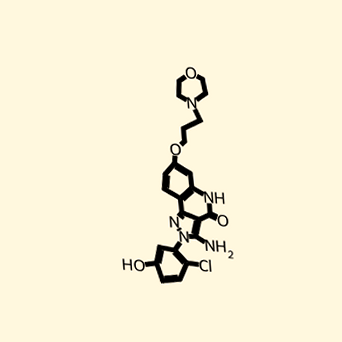 Nc1c2c(=O)[nH]c3cc(OCCCN4CCOCC4)ccc3c2nn1-c1cc(O)ccc1Cl